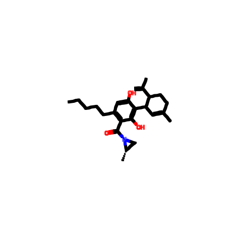 C=C(C)C1CCC(C)=CC1c1c(O)cc(CCCCC)c(C(=O)N2C[C@@H]2C)c1O